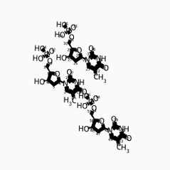 Cc1cn([C@H]2C[C@H](O)[C@@H](COP(=O)(O)O)O2)c(=O)[nH]c1=O.Cc1cn([C@H]2C[C@H](O)[C@@H](COP(=O)(O)O)O2)c(=O)[nH]c1=O.Cc1cn([C@H]2C[C@H](O)[C@@H](COP(=O)(O)O)O2)c(=O)[nH]c1=O